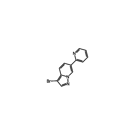 Brc1cnn2cc(-c3ccccn3)ccc12